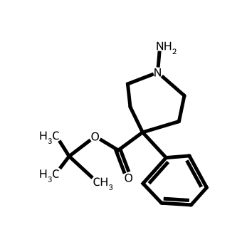 CC(C)(C)OC(=O)C1(c2ccccc2)CCN(N)CC1